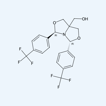 OCC12CO[C@H](c3ccc(C(F)(F)F)cc3)N1[C@@H](c1ccc(C(F)(F)F)cc1)OC2